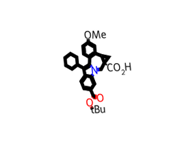 COc1ccc2c(c1)C1C[C@]1(C(=O)O)Cn1c-2c(C2CCCCC2)c2ccc(C(=O)OC(C)(C)C)cc21